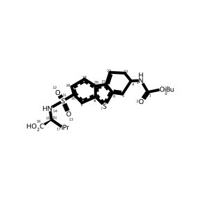 CC(C)COC(=O)NC1C=c2sc3cc(S(=O)(=O)N[C@H](C(=O)O)C(C)C)ccc3c2=CC1